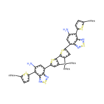 CCCCCCc1ccc(-c2c(N)cc(-c3cc4c(s3)-c3sc(-c5cc(N)c(-c6ccc(CCCCCC)s6)c6nsnc56)cc3[Si]4(CCCCCC)CCCCCC)c3nsnc23)s1